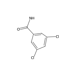 [NH]C(=O)c1cc(Cl)cc(Cl)c1